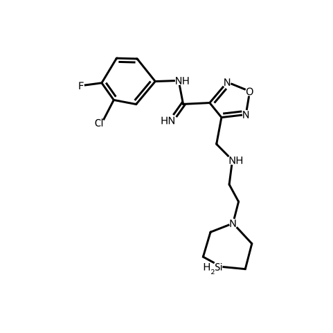 N=C(Nc1ccc(F)c(Cl)c1)c1nonc1CNCCN1CC[SiH2]CC1